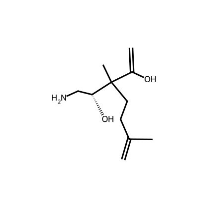 C=C(C)CCC(C)(C(=C)O)[C@H](O)CN